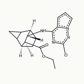 CCOC(=O)[C@@H]1[C@@H](Nc2nc(Cl)nn3cccc23)[C@@H]2CC[C@H]1C1CC12